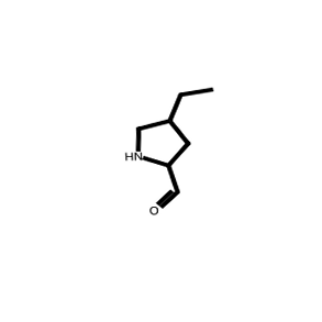 CCC1CNC(C=O)C1